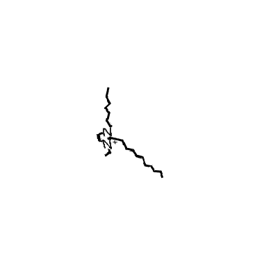 CCCCCCCCCCc1n(CCCCCCC)cc[n+]1CC